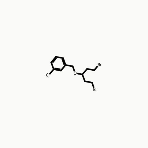 Clc1cccc(COC(CCBr)CCBr)c1